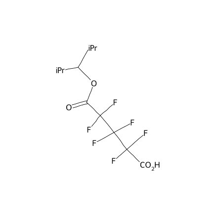 CC(C)C(OC(=O)C(F)(F)C(F)(F)C(F)(F)C(=O)O)C(C)C